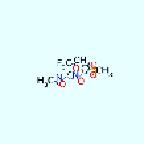 Cc1coc(C2CCN(C(=O)c3cc(S(C)(=O)=O)ccc3OC(C)C(F)(F)F)C2)n1